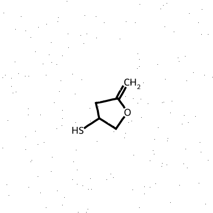 C=C1CC(S)CO1